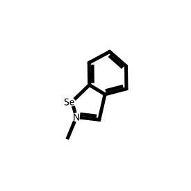 C[n+]1cc2ccccc2[se]1